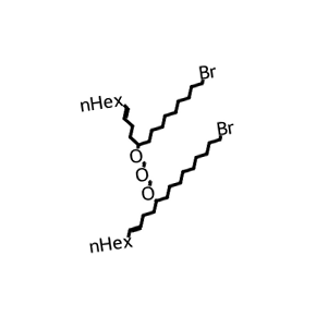 CCCCCCC=CCCC(CCCCCCCCCBr)OCOCOC(CCC=CCCCCCC)CCCCCCCCCBr